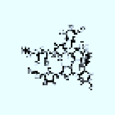 Cc1ccc(-c2sc(-c3ccc(C#N)s3)cc2C2=C(c3cc(-c4ccc(C#N)s4)sc3-c3ccc(C)s3)C(F)(F)C(F)(F)C2(F)F)s1